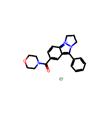 O=C(c1ccc2c(c1)c(-c1ccccc1)n1[n+]2CCC1)N1CCOCC1.[Cl-]